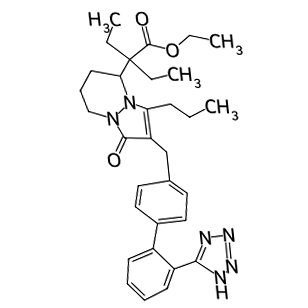 CCCc1c(Cc2ccc(-c3ccccc3-c3nnn[nH]3)cc2)c(=O)n2n1C(C(CC)(CC)C(=O)OCC)CCC2